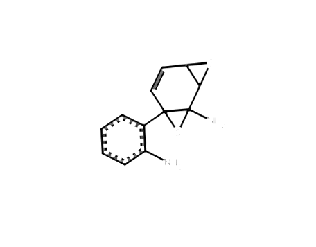 Nc1ccccc1C12C=CC3SC3C1(N)S2